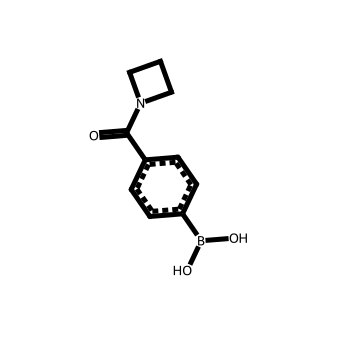 O=C(c1ccc(B(O)O)cc1)N1CCC1